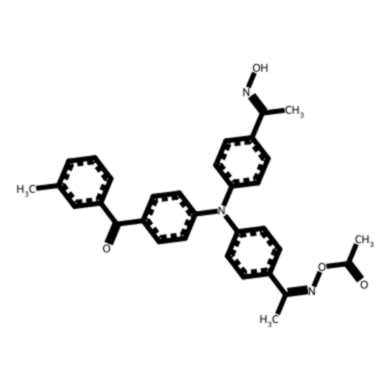 CC(=O)O/N=C(/C)c1ccc(N(c2ccc(C(=O)c3cccc(C)c3)cc2)c2ccc(/C(C)=N/O)cc2)cc1